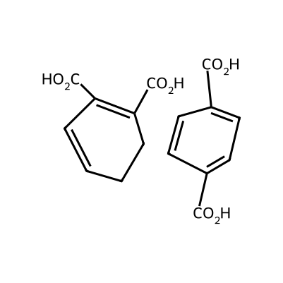 O=C(O)C1=C(C(=O)O)CCC=C1.O=C(O)c1ccc(C(=O)O)cc1